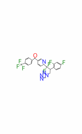 O=C(c1ccc(C(F)(F)F)cc1)c1ccc(C(F)(F)C(Cn2cnnn2)c2ccc(F)cc2F)nc1